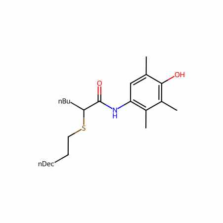 CCCCCCCCCCCCSC(CCCC)C(=O)Nc1cc(C)c(O)c(C)c1C